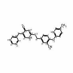 Cc1ccc(Oc2ccc(CSc3nc(=O)c(Cc4cncnc4)c[nH]3)cc2C#N)nc1